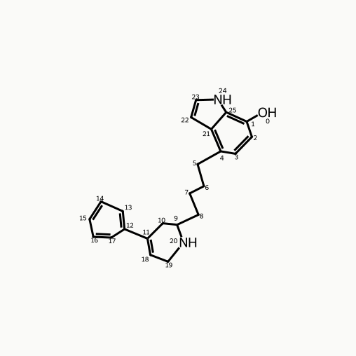 Oc1ccc(CCCCC2CC(c3ccccc3)=CCN2)c2cc[nH]c12